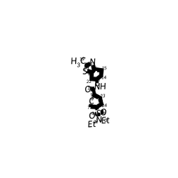 CCN(CC)S(=O)(=O)c1ccc(C(=O)Nc2ccc3nc(C)sc3c2)cc1